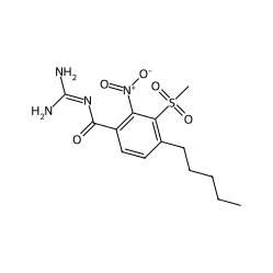 CCCCCc1ccc(C(=O)N=C(N)N)c([N+](=O)[O-])c1S(C)(=O)=O